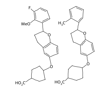 COc1c(F)cccc1C1CCc2cc(OC3CCC(C(=O)O)CC3)ccc2O1.Cc1ccccc1C1CCc2cc(OC3CCC(C(=O)O)CC3)ccc2O1